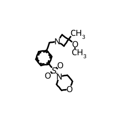 COC1(C)CN(Cc2cccc(S(=O)(=O)N3CCOCC3)c2)C1